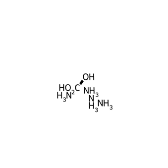 N.N.N.N.O=C(O)O